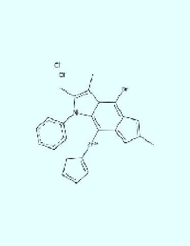 CC1=CC2=C(Br)C3C(C)=C(C)N(c4ccccc4)C3=[C]([Zr+2][C]3=CC=CC3)C2=C1.[Cl-].[Cl-]